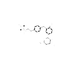 NS(=O)(=O)NCCc1ccc(Cc2cc([C@@H]3O[C@H](CO)[C@@H](O)[C@H](O)[C@H]3O)ccc2Cl)cc1